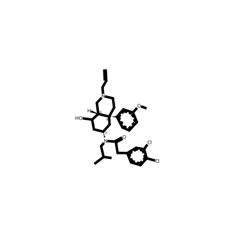 C=CCN1CC[C@@]2(c3cccc(OC)c3)C[C@H](N(CC(C)C)C(=O)Cc3ccc(Cl)c(Cl)c3)CC(O)[C@@H]2C1